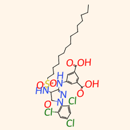 CCCCCCCCCCCCCCCS(=O)(=O)NC1C(=O)N(c2c(Cl)cc(Cl)cc2Cl)N=C1Nc1cc(C(=O)O)cc(C(=O)O)c1